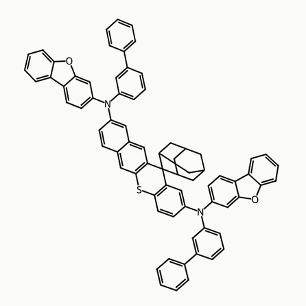 c1ccc(-c2cccc(N(c3ccc4c(c3)C3(c5cc6cc(N(c7cccc(-c8ccccc8)c7)c7ccc8c(c7)oc7ccccc78)ccc6cc5S4)C4CC5CC(C4)CC3C5)c3ccc4c(c3)oc3ccccc34)c2)cc1